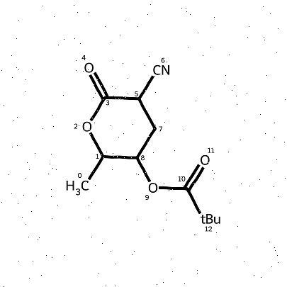 CC1OC(=O)C(C#N)CC1OC(=O)C(C)(C)C